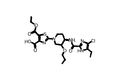 CCCOC1CN(c2nc(C(=O)O)c(C(=O)OCC)s2)CCC1NC(=O)c1nc(Cl)c(CC)[nH]1